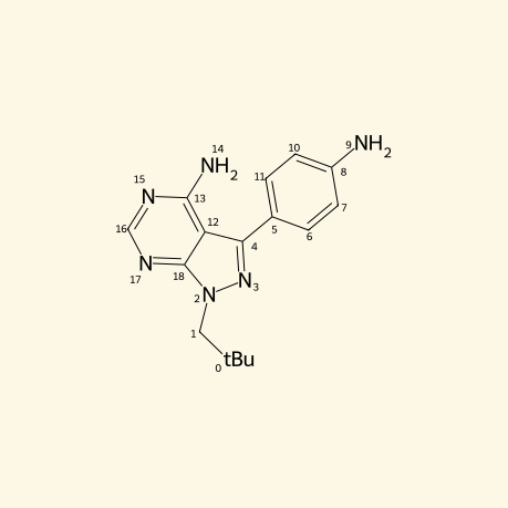 CC(C)(C)Cn1nc(-c2ccc(N)cc2)c2c(N)ncnc21